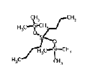 CCCC[Si](CCCC)(O[Si](C)(C)C)O[Si](C)(C)C